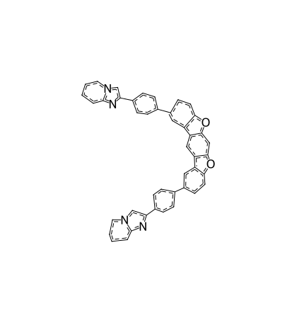 c1ccn2cc(-c3ccc(-c4ccc5oc6cc7oc8ccc(-c9ccc(-c%10cn%11ccccc%11n%10)cc9)cc8c7cc6c5c4)cc3)nc2c1